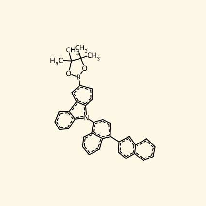 CC1(C)OB(c2ccc3c(c2)c2ccccc2n3-c2ccc(-c3ccc4ccccc4c3)c3ccccc23)OC1(C)C